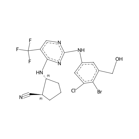 N#C[C@@H]1CCC[C@H]1Nc1nc(Nc2cc(Cl)c(Br)c(CO)c2)ncc1C(F)(F)F